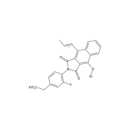 C/C=C/c1c2c(c(OCC)c3ccccc13)C(=O)N(c1ccc(CC(=O)OCC)cc1F)C2=O